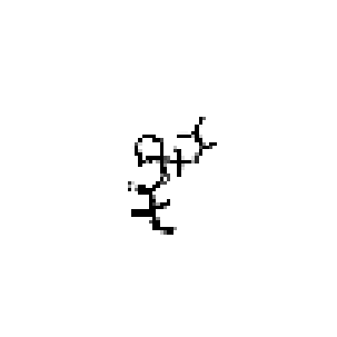 CCC(C)(C)C(=O)OC1(C(C)(C)OC(C)C(C)C)CCCC1